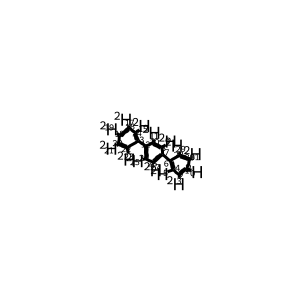 [2H]c1c([2H])c([2H])c(-c2c([2H])c([2H])c(-c3c([2H])c([2H])c([2H])c([2H])c3[2H])c([2H])c2[2H])c([2H])c1[2H]